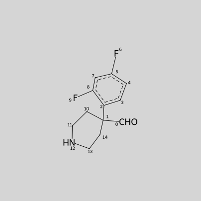 O=CC1(c2ccc(F)cc2F)CCNCC1